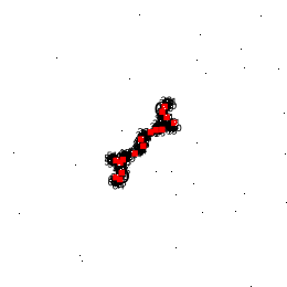 C(=Cc1ccc2cc3cc(C=Cc4ccc(N(c5ccccc5)c5ccc(OC6CCCCC6)cc5)cc4)ccc3cc2c1)c1ccc(N(c2ccccc2)c2ccc(OC3CCCCC3)cc2)cc1